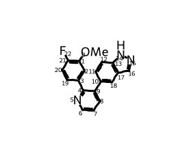 COc1cc(-c2ncccc2-c2ccc3[nH]ncc3c2)ccc1F